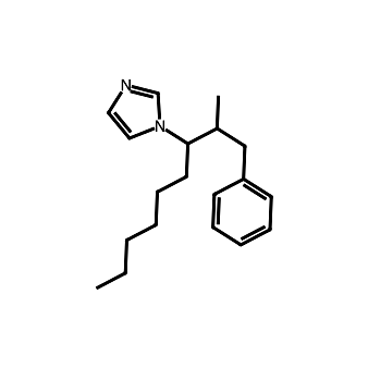 CCCCCCC(C(C)Cc1ccccc1)n1ccnc1